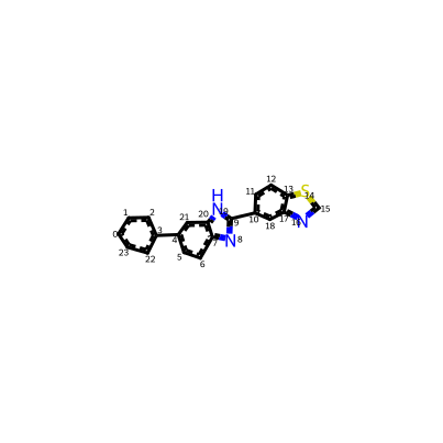 c1ccc(-c2ccc3nc(-c4ccc5scnc5c4)[nH]c3c2)cc1